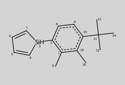 Cc1c([SiH]2C=CC=C2)ccc(C(C)(C)C)c1C